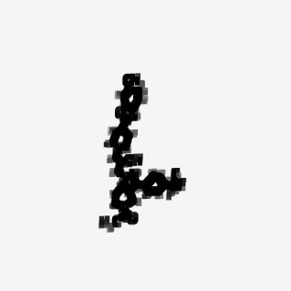 CC(=O)N1CCc2c(c(-c3ccc(C(F)(F)F)cc3)nn2CC(O)CN2CCC(c3nc4ccc(C)cc4o3)CC2)C1